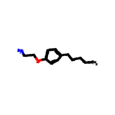 CCCCCc1ccc(OCCN)cc1